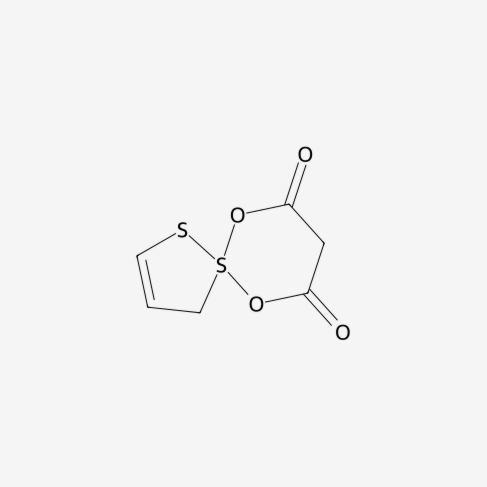 O=C1CC(=O)OS2(CC=CS2)O1